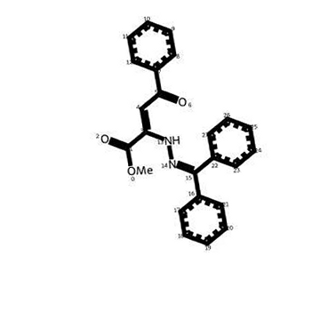 COC(=O)C(=CC(=O)c1ccccc1)NN=C(c1ccccc1)c1ccccc1